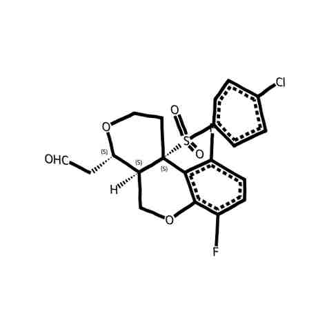 O=CC[C@@H]1OCC[C@@]2(S(=O)(=O)c3ccc(Cl)cc3)c3c(F)ccc(F)c3OC[C@@H]12